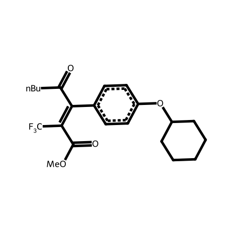 CCCCC(=O)C(=C(C(=O)OC)C(F)(F)F)c1ccc(OC2CCCCC2)cc1